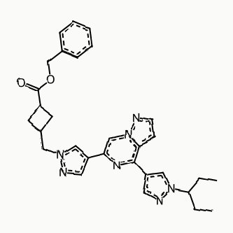 CCC(CC)n1cc(-c2nc(-c3cnn(CC4CC(C(=O)OCc5ccccc5)C4)c3)cn3nccc23)cn1